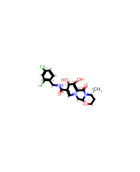 C[C@@H]1CCOC2CN3C=C(C(=O)NCc4ccc(F)cc4F)C(O)C(O)=C3C(=O)N21